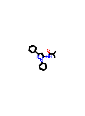 CC(C)C(=O)Nc1cc(-c2ccccc2)nn1-c1ccccc1